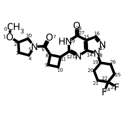 COC1CCN(C(=O)C2CCC2c2nc3c(cnn3C3CCC(F)(F)CC3)c(=O)[nH]2)C1